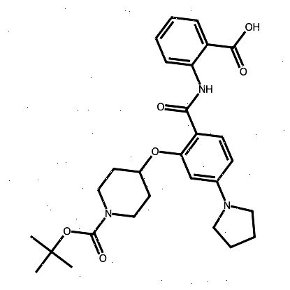 CC(C)(C)OC(=O)N1CCC(Oc2cc(N3CCCC3)ccc2C(=O)Nc2ccccc2C(=O)O)CC1